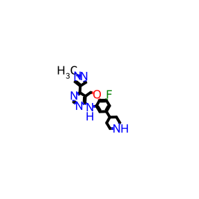 Cn1cc(-c2ncnc3c2COc2c(F)cc(C4CCNCC4)cc2N3)cn1